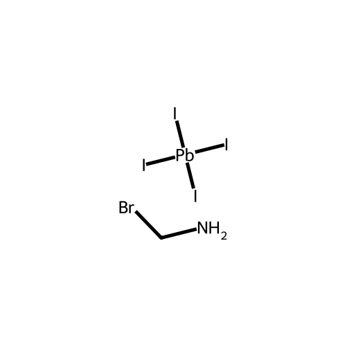 NCBr.[I][Pb]([I])([I])[I]